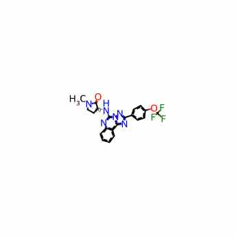 CN1CC[C@@H](Nc2nc3ccccc3c3nc(-c4ccc(OC(F)(F)F)cc4)nn23)C1=O